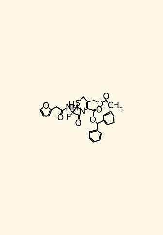 CC(=O)OCC1=C(C(=O)OC(c2ccccc2)c2ccccc2)N2C(=O)[C@@](F)(NC(=O)Cc3ccco3)[C@H]2SC1